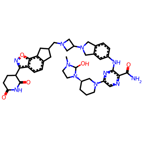 CN1CCN([C@@H]2CCCN(c3cnc(C(N)=O)c(Nc4ccc5c(c4)CN(C4CN(CC6Cc7ccc8c(C9CCC(=O)NC9=O)noc8c7C6)C4)C5)n3)C2)C1O